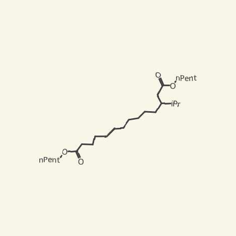 CCCCCOC(=O)CCCCCCCCCCC(CC(=O)OCCCCC)C(C)C